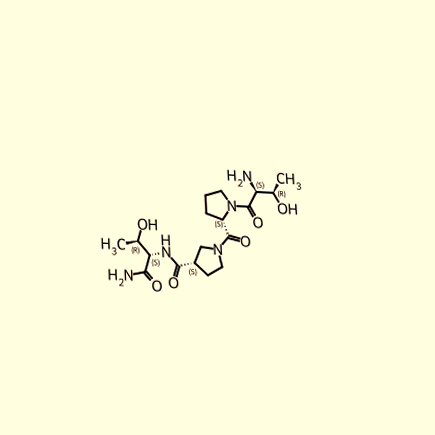 C[C@@H](O)[C@H](N)C(=O)N1CCC[C@H]1C(=O)N1CC[C@H](C(=O)N[C@H](C(N)=O)[C@@H](C)O)C1